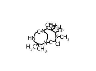 CC1N2CCNCC(C)(C)CN(CC2)CC(Cl)N(C)C(Cl)C1(C)C